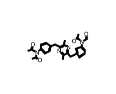 CC(=O)N(C=O)c1cccc(Cc2nc(C)c(Cc3ccc(N(C(C)=O)C(C)=O)cc3)nc2C)c1